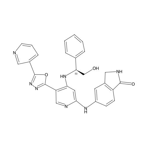 O=C1NCc2cc(Nc3cc(N[C@H](CO)c4ccccc4)c(-c4nnc(-c5cccnc5)o4)cn3)ccc21